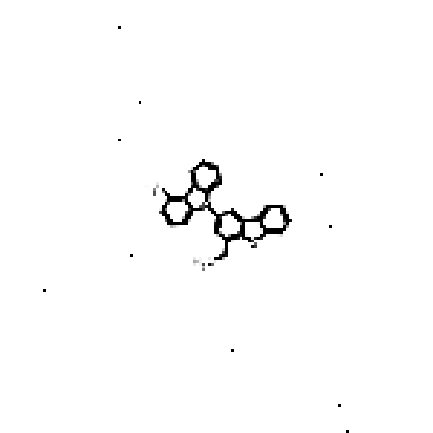 CCc1cc(-n2c3ccccc3c3c(C)cccc32)cc2c1sc1ccccc12